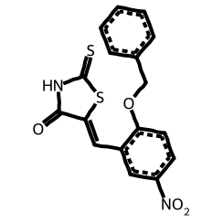 O=C1NC(=S)S/C1=C\c1cc([N+](=O)[O-])ccc1OCc1ccccc1